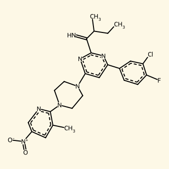 CCC(C)C(=N)c1nc(-c2ccc(F)c(Cl)c2)cc(N2CCN(c3ncc([N+](=O)[O-])cc3C)CC2)n1